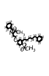 CC(=O)Oc1ccc(OCCc2nc(-c3ccccc3)oc2C)cc1CCCCCc1ccccc1